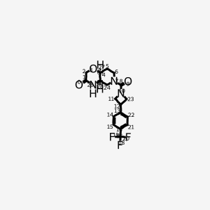 O=C1CO[C@H]2CCN(C(=O)N3CC(c4ccc(C(F)(F)F)cc4)C3)C[C@H]2N1